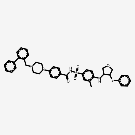 Cc1cc(S(=O)(=O)NC(=O)c2ccc(N3CCN(Cc4ccccc4-c4ccccc4)CC3)cc2)ccc1NC1COCC1Sc1ccccc1